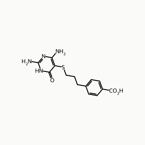 Nc1nc(N)c(SCCCc2ccc(C(=O)O)cc2)c(=O)[nH]1